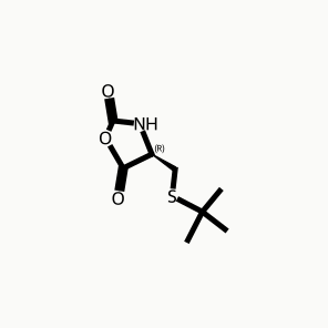 CC(C)(C)SC[C@@H]1NC(=O)OC1=O